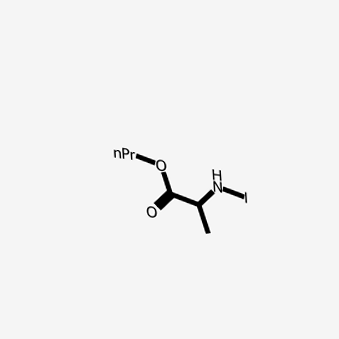 CCCOC(=O)C(C)NI